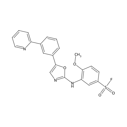 COc1ccc(S(=O)(=O)F)cc1Nc1ncc(-c2cccc(-c3ccccn3)c2)o1